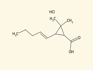 CCCC=CC1C(C(=O)O)C1(C)C.Cl